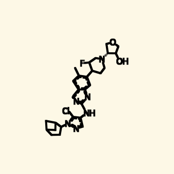 Cc1cc2cnc(Nc3cnn(C4CCC5CC4C5)c3Cl)nc2cc1C1CCN([C@@H]2COCC2O)CC1F